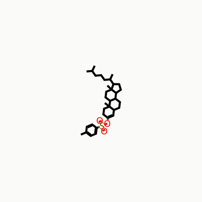 Cc1ccc(S(=O)(=O)OC2=CC3CCC4C(CCC5(C)C(C(C)CCCC(C)C)CCC45)C3(C)CC2)cc1